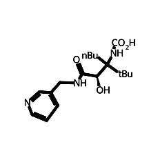 CCCCC(NC(=O)O)([C@@H](O)C(=O)NCc1cccnc1)C(C)(C)C